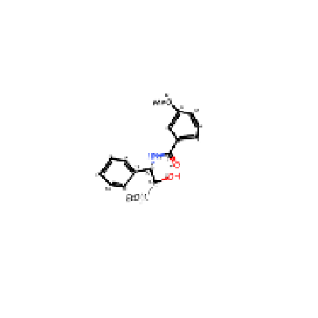 CCOC(=O)[C@@H](O)[C@@H](NC(=O)c1cccc(OC)c1)c1ccccc1